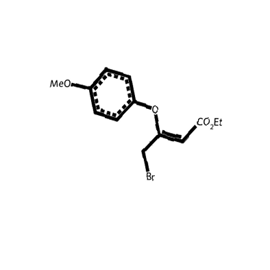 CCOC(=O)/C=C(/CBr)Oc1ccc(OC)cc1